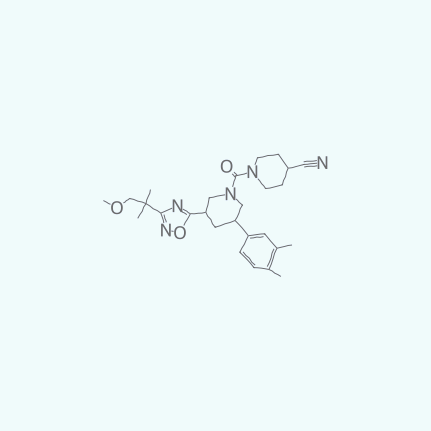 COCC(C)(C)c1noc(C2CC(c3ccc(C)c(C)c3)CN(C(=O)N3CCC(C#N)CC3)C2)n1